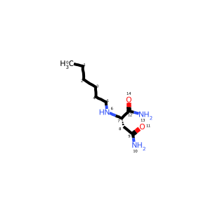 CCCCCCN[C@@H](CC(N)=O)C(N)=O